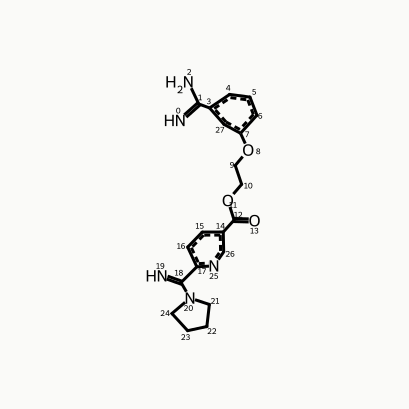 N=C(N)c1cccc(OCCOC(=O)c2ccc(C(=N)N3CCCC3)nc2)c1